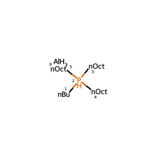 [AlH3].[CH2]CCC[PH](CCCCCCCC)(CCCCCCCC)CCCCCCCC